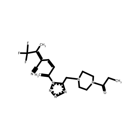 C=C(/C=C\C(C#N)=C(/C)C(F)(F)F)n1nnnc1CN1CCN(C(=O)CC)CC1